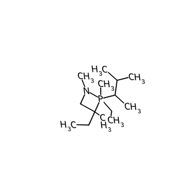 CCC1(C)CN(C)P1(C)(CC)C(C)C(C)C